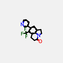 O=C1CCc2c3c(cc(-c4cccnc4)c2C(F)(F)F)CCN13